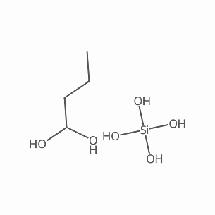 CCCC(O)O.O[Si](O)(O)O